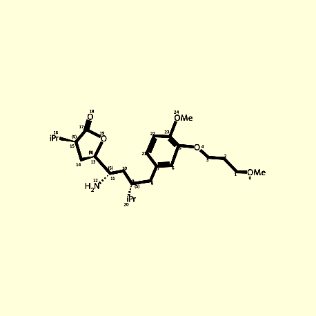 COCCCOc1cc(C[C@@H](C[C@H](N)[C@H]2C[C@@H](C(C)C)C(=O)O2)C(C)C)ccc1OC